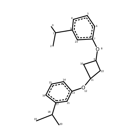 CC(C)c1cccc(OC2CC(Oc3cccc(C(C)C)c3)C2)c1